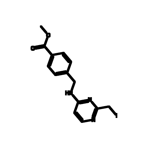 COC(=O)c1ccc(CNc2ccnc(CI)n2)cc1